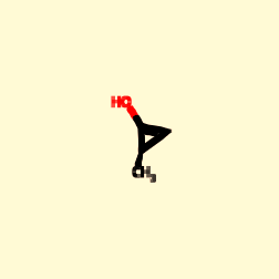 C[C@@H]1C=C1O